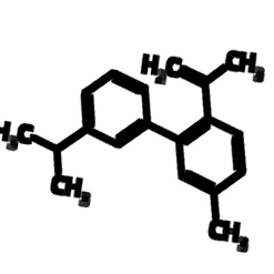 C=C(C)c1ccc(C)cc1-c1cccc(C(C)C)c1